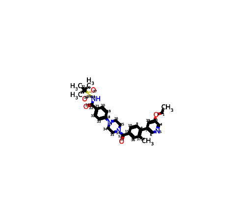 CCOc1cncc(-c2ccc(C(=O)N3CCN(c4ccc(C(=O)NS(=O)(=O)C(C)(C)C)cc4)CC3)cc2C)c1